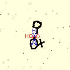 CC(C)(C)C12CCC(CC(NCc3ccccc3)C1)N2C(=O)O